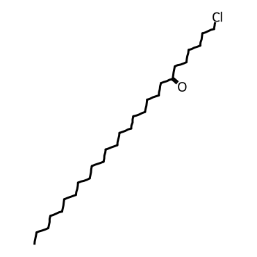 CCCCCCCCCCCCCCCCCCCCC(=O)CCCCCCCl